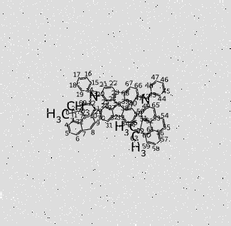 CC1(C)c2cccc3ccc4cc(N(c5ccccc5)c5ccc6c(c5)C5(c7ccccc7-c7ccccc75)c5cc(N(c7ccccc7)c7cc8c9c(ccc%10cccc(c%109)C8(C)C)c7)ccc5-6)cc1c4c23